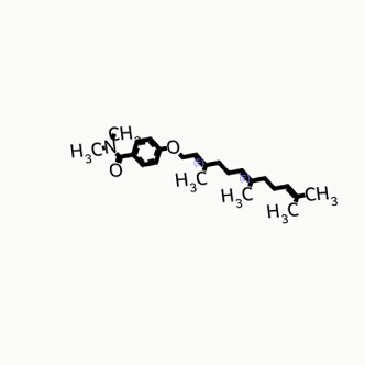 CC(C)=CCC/C(C)=C/CC/C(C)=C/COc1ccc(C(=O)N(C)C)cc1